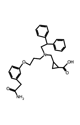 NC(=O)Cc1cccc(OCCCN(CC(c2ccccc2)c2ccccc2)CC2CC2C(=O)O)c1